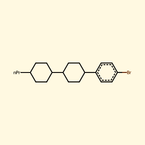 CCCC1CCC(C2CCC(c3ccc(Br)cc3)CC2)CC1